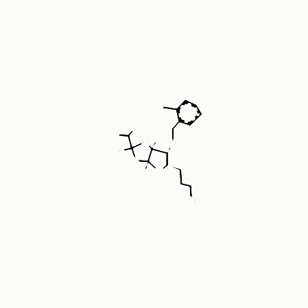 CCCC[C@H]1O[C@@H]2OC(C)(C(C)C)O[C@@H]2[C@H]1OCc1ccccc1Cl